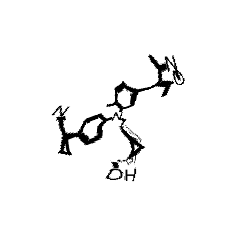 Cc1ccc(-c2c(C)noc2C)cc1N(C[C@H]1C[C@@H]1CO)c1ccc(C2(C#N)CC2)cc1